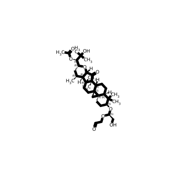 CC(=O)O[C@@H]([C@H]1C[C@@H](C)[C@H]2[C@H](O1)C(=O)[C@@]1(C)[C@@H]3CC[C@H]4C(C)(C)[C@@H](O[C@@H](CO)OCC=O)CC[C@@]45C[C@@]35CC[C@]21C)C(C)(C)O